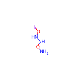 NONNOI